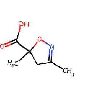 CC1=NOC(C)(C(=O)O)C1